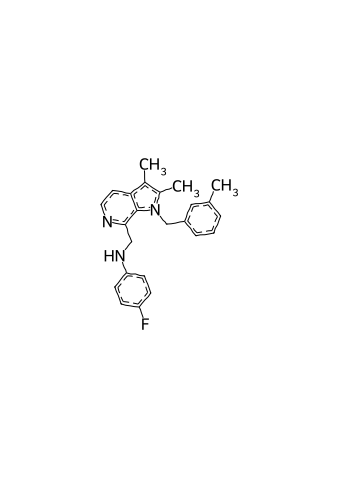 Cc1cccc(Cn2c(C)c(C)c3ccnc(CNc4ccc(F)cc4)c32)c1